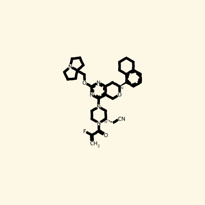 C=C(F)C(=O)N1CCN(c2nc(OCC34CCCN3CCC4)nc3c2CO[C@H](c2cccc4c2CCCC4)C3)C[C@@H]1CC#N